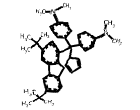 CN(C)c1ccc(C(c2ccc(N(C)C)cc2)(c2cc(C(C)(C)C)cc3c2Cc2ccc(C(C)(C)C)cc2-3)C2C=CC=C2)cc1